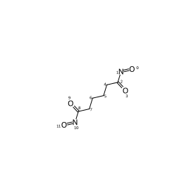 O=NC(=O)CCCCC(=O)N=O